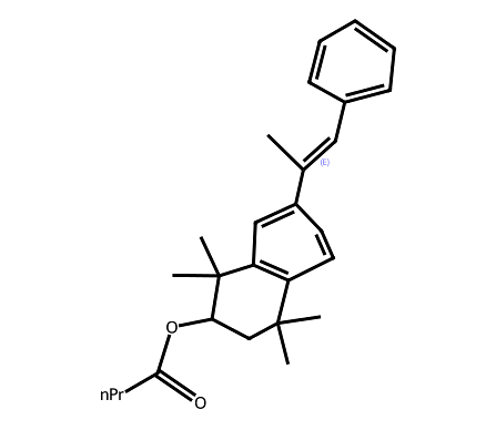 CCCC(=O)OC1CC(C)(C)c2ccc(/C(C)=C/c3ccccc3)cc2C1(C)C